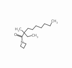 CCCCCCCC(C)(CC)C(=O)N1CCC1